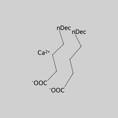 CCCCCCCCCCCCCC(=O)[O-].CCCCCCCCCCCCCC(=O)[O-].[Ca+2]